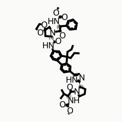 CCCC1(CCC)c2cc(NC(=O)[C@@H]3CC4(CN3C(=O)[C@H](NC(=O)OC)c3ccccc3)OCCO4)ccc2-c2ccc(-c3cnc([C@@H]4CCCN4C(=O)[C@@H](NC(=O)OC)C(C)C)[nH]3)cc21